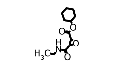 CCNC(=O)C1OC1C(=O)OC1CCCCC1